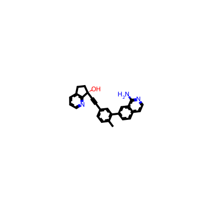 Cc1ccc(C#C[C@]2(O)CCc3cccnc32)cc1-c1ccc2ccnc(N)c2c1